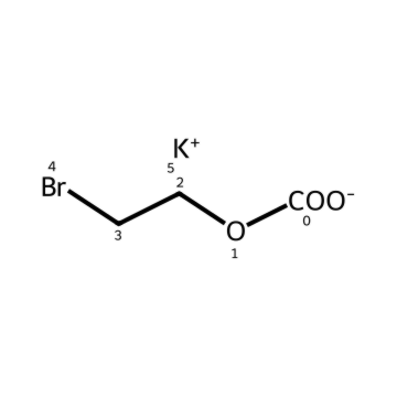 O=C([O-])OCCBr.[K+]